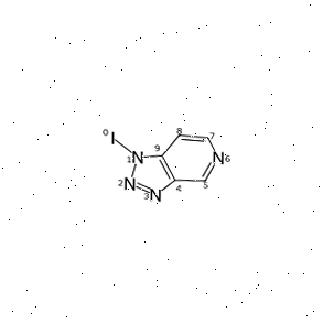 In1nnc2cnccc21